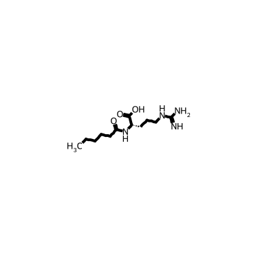 CCCCCC(=O)N[C@@H](CCCNC(=N)N)C(=O)O